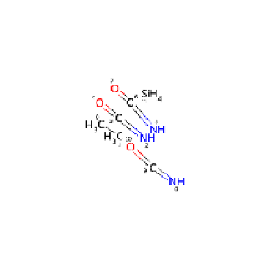 CC.N=C=O.N=C=O.N=C=O.[SiH4]